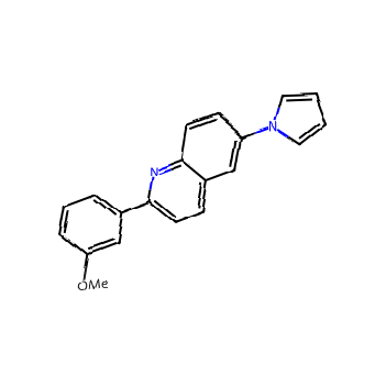 COc1cccc(-c2ccc3cc(-n4cccc4)ccc3n2)c1